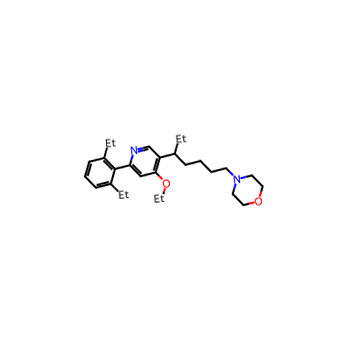 CCOc1cc(-c2c(CC)cccc2CC)ncc1C(CC)CCCCN1CCOCC1